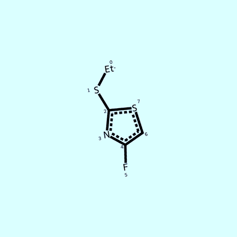 C[CH]Sc1nc(F)cs1